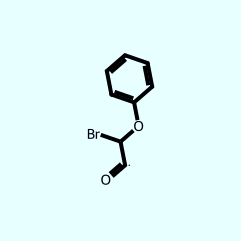 O=[C]C(Br)Oc1ccccc1